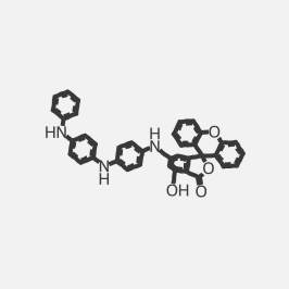 O=C1OC2(c3ccccc3Oc3ccccc32)c2cc(Nc3ccc(Nc4ccc(Nc5ccccc5)cc4)cc3)cc(O)c21